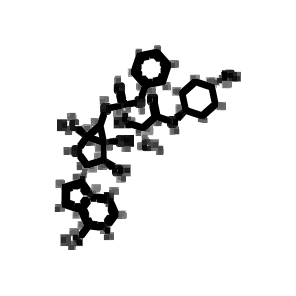 C[C@H](N[P@](=O)(Oc1ccccc1)OC1[C@@]2(C)O[C@@H](c3ccc4c(N)ncnn34)[C@H](O)[C@@]12O)C(=O)O[C@H]1CC[C@H](C(C)(C)C)CC1